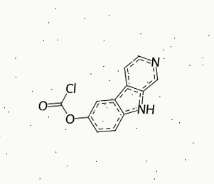 O=C(Cl)Oc1ccc2[nH]c3cnccc3c2c1